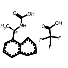 C[C@@H](NC(=O)O)c1cccc2ccccc12.O=C(O)C(F)(F)F